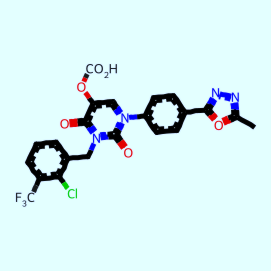 Cc1nnc(-c2ccc(-n3cc(OC(=O)O)c(=O)n(Cc4cccc(C(F)(F)F)c4Cl)c3=O)cc2)o1